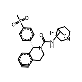 CS(=O)(=O)c1ccc([C@H]2c3ccc#cc3CCN2C(=O)N[C@@H]2CN3CCC2CC3)cc1